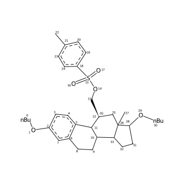 CCCCOc1ccc2c(c1)CCC1C2[C@@H](COS(=O)(=O)c2ccc(C)cc2)CC2(C)C(OCCCC)CCC12